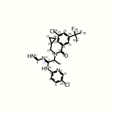 CC(/C(=N/C=N)Nc1ccc(Cl)cn1)N(CC1CC1)C(=O)c1cc(Cl)cc(C(F)(F)F)c1